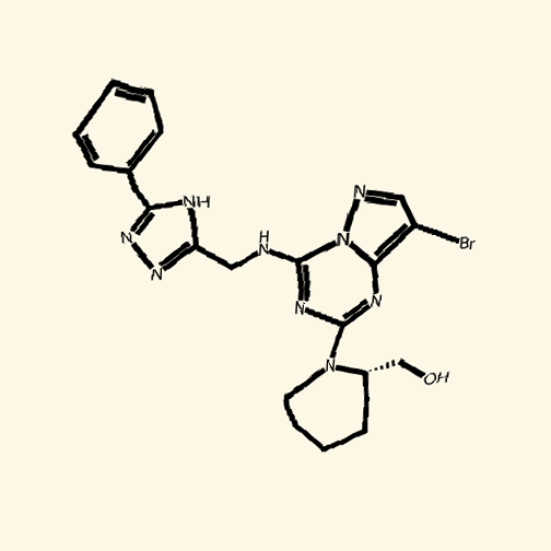 OC[C@@H]1CCCCN1c1nc(NCc2nnc(-c3ccccc3)[nH]2)n2ncc(Br)c2n1